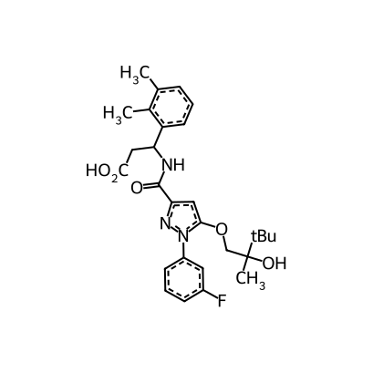 Cc1cccc(C(CC(=O)O)NC(=O)c2cc(OCC(C)(O)C(C)(C)C)n(-c3cccc(F)c3)n2)c1C